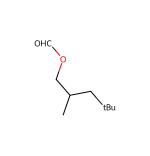 CC(COC=O)CC(C)(C)C